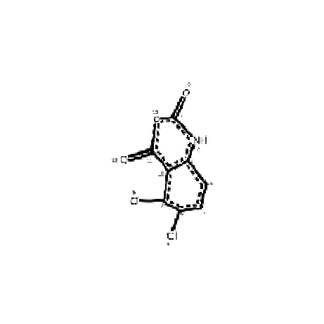 O=c1[nH]c2ccc(Cl)c(Cl)c2c(=O)o1